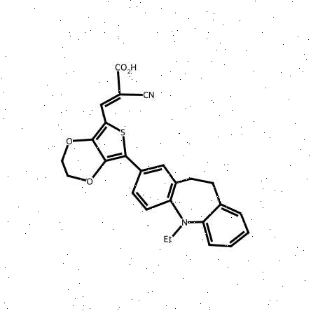 CCN1c2ccccc2CCc2cc(-c3sc(/C=C(\C#N)C(=O)O)c4c3OCCO4)ccc21